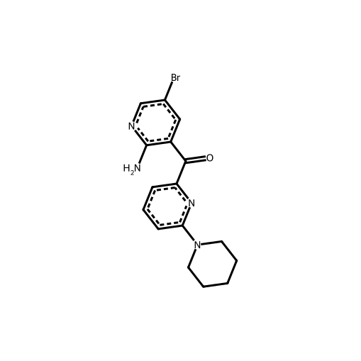 Nc1ncc(Br)cc1C(=O)c1cccc(N2CCCCC2)n1